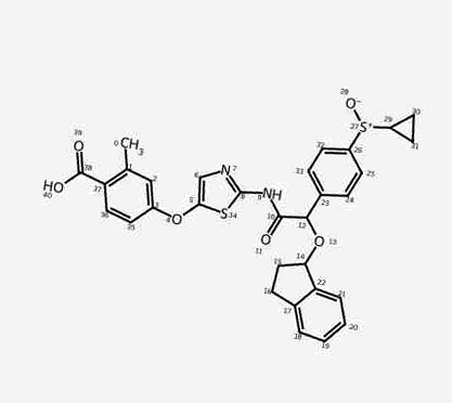 Cc1cc(Oc2cnc(NC(=O)C(OC3CCc4ccccc43)c3ccc([S+]([O-])C4CC4)cc3)s2)ccc1C(=O)O